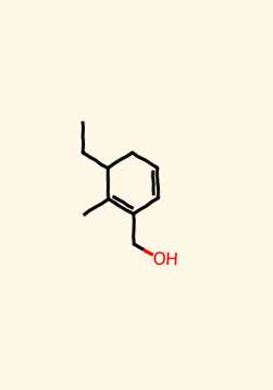 CCC1CC=CC(CO)=C1C